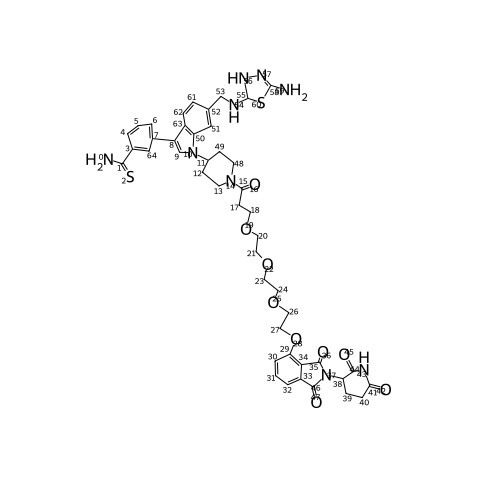 NC(=S)c1cccc(-c2cn(C3CCN(C(=O)CCOCCOCCOCCOc4cccc5c4C(=O)N(C4CCC(=O)NC4=O)C5=O)CC3)c3cc(CNC4NN=C(N)S4)ccc23)c1